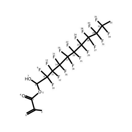 C=C(C)C(=O)OC(O)C(F)(F)C(F)(F)C(F)(F)C(F)(F)C(F)(F)C(F)(F)C(F)(F)C(F)(F)C(C)(F)F